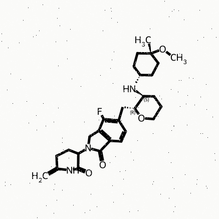 C=C1CCC(N2Cc3c(ccc(C[C@H]4OCCC[C@@H]4N[C@H]4CC[C@@](C)(OC)CC4)c3F)C2=O)C(=O)N1